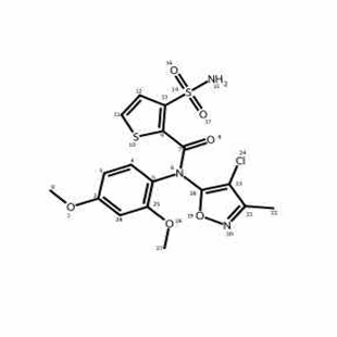 COc1ccc(N(C(=O)c2sccc2S(N)(=O)=O)c2onc(C)c2Cl)c(OC)c1